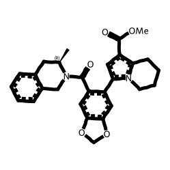 COC(=O)c1cc(-c2cc3c(cc2C(=O)N2Cc4ccccc4C[C@H]2C)OCO3)n2c1CCCC2